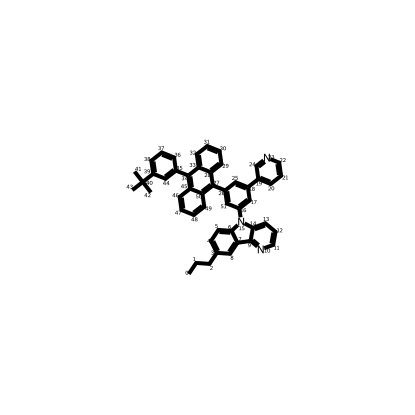 CCCc1ccc2c(c1)c1ncccc1n2-c1cc(-c2cccnc2)cc(-c2c3ccccc3c(-c3cccc(C(C)(C)C)c3)c3ccccc23)c1